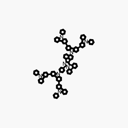 c1ccc(-c2ccccc2-c2nc(-c3ccc(-n4c5ccc(-c6ccc7c(c6)c6ccccc6n7-c6ccccc6)cc5c5cc(-c6ccc7c(c6)c6ccccc6n7-c6ccccc6)ccc54)cc3)nc3c2-c2ccc(-n4c5ccc(-c6ccc7c(c6)c6ccccc6n7-c6ccccc6)cc5c5cc(-c6ccc7c(c6)c6ccccc6n7-c6ccccc6)ccc54)c4cccc-3c24)cc1